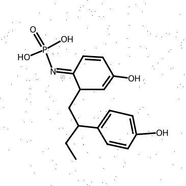 CCC(CC1C=C(O)C=C/C1=N\P(=O)(O)O)c1ccc(O)cc1